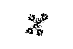 CN1C(C)(C)CC(OC(=O)CC(C(=O)OC2CC(C)(C)N(C)C(C)(C)C2)C(CC(=O)OC2CC(C)(C)NC(C)(C)C2)C(=O)OC2CC(C)(C)N(C)C(C)(C)C2)CC1(C)C